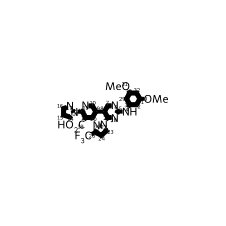 COc1cc(Nc2ncc(-c3cnc(-n4cccn4)c(C(=O)O)c3)c(-n3ccc(C(F)(F)F)n3)n2)cc(OC)c1